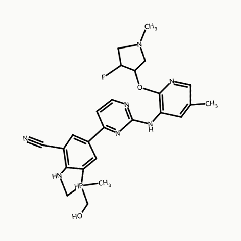 Cc1cnc(OC2CN(C)CC2F)c(Nc2nccc(-c3cc(C#N)c4c(c3)[PH](C)(CO)CN4)n2)c1